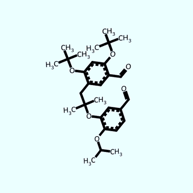 CC(C)Oc1ccc(C=O)cc1OC(C)(C)Cc1cc(C=O)c(OC(C)(C)C)cc1OC(C)(C)C